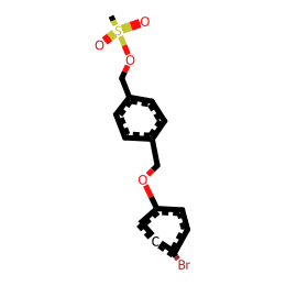 CS(=O)(=O)OCc1ccc(COc2ccc(Br)cc2)cc1